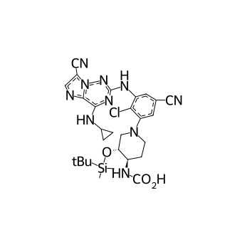 CC(C)(C)[Si](C)(C)O[C@@H]1CN(c2cc(C#N)cc(Nc3nc(NC4CC4)c4ncc(C#N)n4n3)c2Cl)CC[C@H]1NC(=O)O